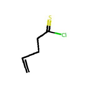 C=CCCC(=S)Cl